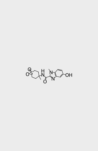 Cn1c(C(=O)NC2(C)CCS(=O)(=O)CC2)nc2cc(O)ccc21